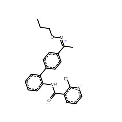 CCCO/N=C(/C)c1ccc(-c2ccccc2NC(=O)c2cccnc2Cl)cc1